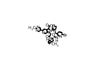 CC(=O)c1nn(CC(=O)N2[C@H](C(=O)Nc3nc(Br)ccc3CN3CC4CC3CO4)C[C@@]3(C)C#C[C@@H]23)c2cnc(-c3cnc(C)nc3)cc12